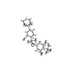 Fc1cc(-c2ncccn2)ccc1C(F)(F)Oc1cc(F)c(C(F)(F)F)c(F)c1